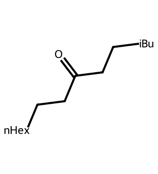 CCCCCCCCC(=O)CCC(C)CC